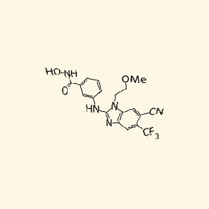 COCCn1c(Nc2cccc(C(=O)NO)c2)nc2cc(C(F)(F)F)c(C#N)cc21